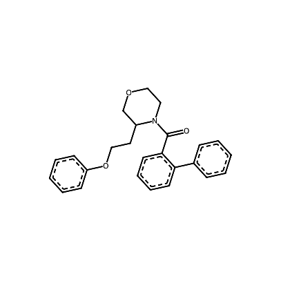 O=C(c1ccccc1-c1ccccc1)N1CCOCC1CCOc1ccccc1